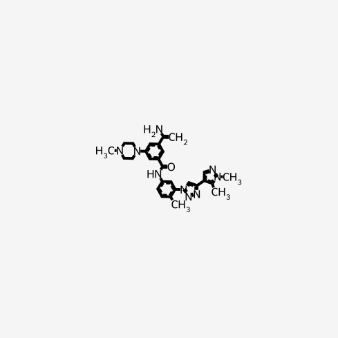 C=C(N)c1cc(C(=O)Nc2ccc(C)c(-n3cc(-c4cnn(C)c4C)nn3)c2)cc(N2CCN(C)CC2)c1